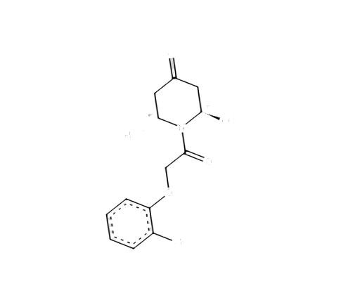 C[C@@H]1CC(=O)C[C@@H](C)N1C(=O)COc1ccccc1C(F)(F)F